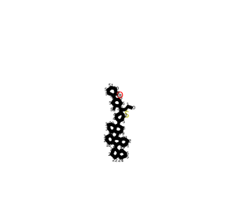 C=Cc1sc2cc(-c3ccc(-c4c5ccccc5c(-c5cccc6ccccc56)c5ccccc45)c4ccccc34)ccc2c1-c1cc2oc3ccccc3c2cc1C